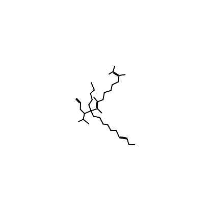 C=CCC(C(C)C)C(CCCCC)(CCCCCCC=CCC)C(C)=C(C)CCCCCC(C)=C(C)C